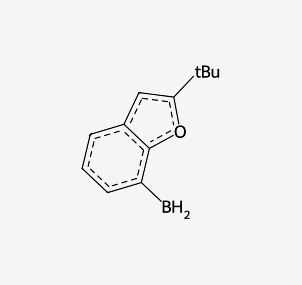 Bc1cccc2cc(C(C)(C)C)oc12